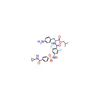 CC(C)COC(=O)[C@H](Cc1ccc(N)cc1)NC(=O)c1c(F)cc(NS(=O)(=O)c2ccc(C(=O)NC3CC3)cc2)cc1F